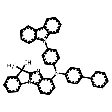 CC1(C)c2ccccc2-n2c1nc1c(N(c3ccc(-c4ccccc4)cc3)c3ccc(-n4c5ccccc5c5ccccc54)cc3)cccc12